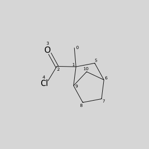 CC1(C(=O)Cl)CC2CCC1C2